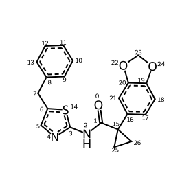 O=C(Nc1ncc(Cc2ccccc2)s1)C1(c2ccc3c(c2)OCO3)CC1